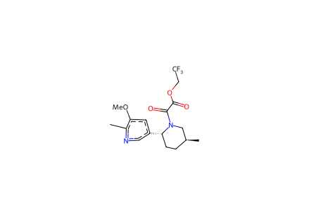 COc1cc([C@H]2CC[C@H](C)CN2C(=O)C(=O)OCC(F)(F)F)cnc1C